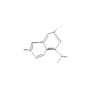 CC(C)c1cc(O)cc2cc(F)ccc12